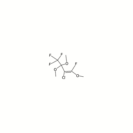 CO/C(F)=C(\Cl)C(OC)(OC)C(F)(F)F